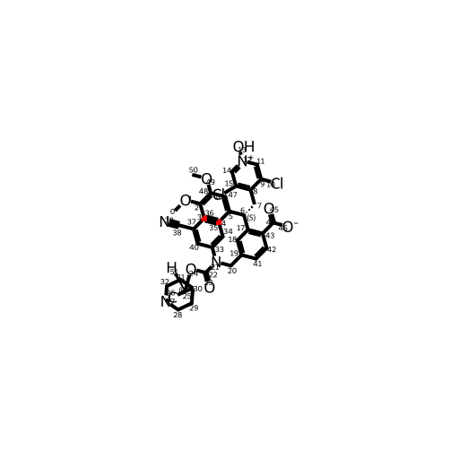 COc1ccc([C@H](Cc2c(Cl)c[n+](O)cc2Cl)c2cc(CN(C(=O)O[C@H]3CN4CCC3CC4)c3cccc(C#N)c3)ccc2C(=O)[O-])cc1OC